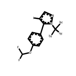 [2H]C([2H])([2H])n1ncc(I)c1-c1ccc(OC(F)F)cc1